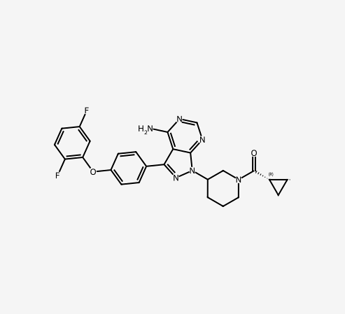 Nc1ncnc2c1c(-c1ccc(Oc3cc(F)ccc3F)cc1)nn2C1CCCN(C(=O)[C@@H]2[CH]C2)C1